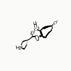 CC[C@@H](Oc1ccc(Cl)cc1C)[C@@H]1CCNC1